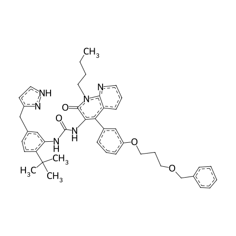 CCCCn1c(=O)c(NC(=O)Nc2cc(Cc3cc[nH]n3)ccc2C(C)(C)C)c(-c2cccc(OCCCOCc3ccccc3)c2)c2cccnc21